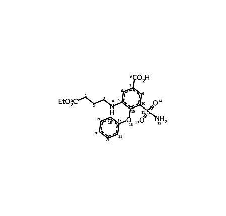 CCOC(=O)CCCNc1cc(C(=O)O)cc(S(N)(=O)=O)c1Oc1ccccc1